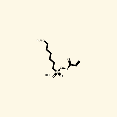 C=CC(=O)OOS(=O)(=O)CCCCCCCCCCCCCCCC.[KH]